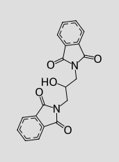 O=C1c2ccccc2C(=O)N1CC(O)CN1C(=O)c2ccccc2C1=O